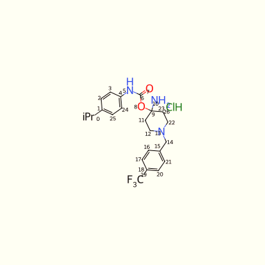 CC(C)c1ccc(NC(=O)OC2(N)CCN(Cc3ccc(C(F)(F)F)cc3)CC2)cc1.Cl